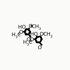 COc1cc(C=O)cc(OC)c1O.COc1cc(C=O)cc(OC)c1O